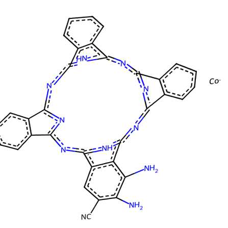 N#Cc1cc2c3nc4nc(nc5[nH]c(nc6nc(nc([nH]3)c2c(N)c1N)-c1ccccc1-6)c1ccccc51)-c1ccccc1-4.[Co]